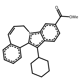 COC(=O)c1ccc2c(C3CCCCC3)c3n(c2c1)CC=Cc1ccccc1-3